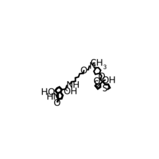 CN(CCOCCCCCCNC[C@@H](O)c1ccc(O)c2[nH]c(=O)ccc12)C1CCC(OC(=O)C(O)(c2cccs2)c2cccs2)CC1